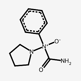 NC(=O)[N+]([O-])(c1ccccc1)N1CCCC1